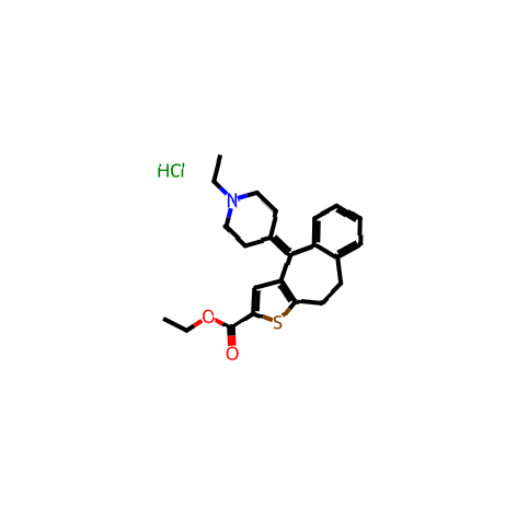 CCOC(=O)c1cc2c(s1)CCc1ccccc1C2=C1CCN(CC)CC1.Cl